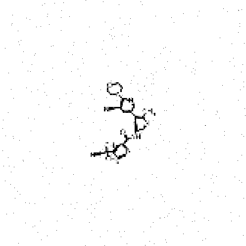 Cc1ncc(NC(=O)c2cc(C(C)(C)C#N)ccn2)cc1-c1cnc(N2CCOCC2)c(C#N)c1